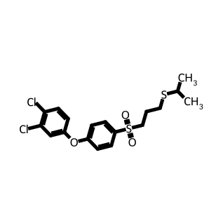 CC(C)SCCCS(=O)(=O)c1ccc(Oc2ccc(Cl)c(Cl)c2)cc1